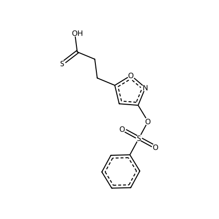 O=S(=O)(Oc1cc(CCC(O)=S)on1)c1ccccc1